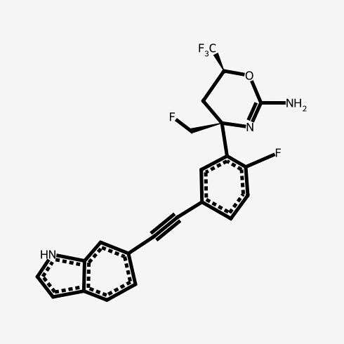 NC1=N[C@](CF)(c2cc(C#Cc3ccc4cc[nH]c4c3)ccc2F)C[C@@H](C(F)(F)F)O1